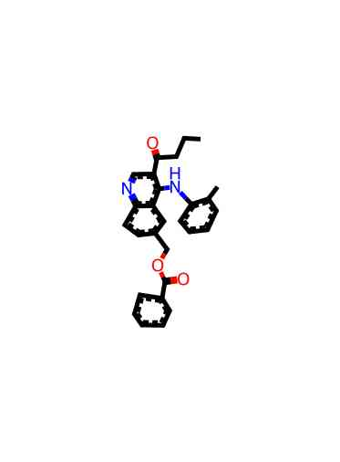 CCCC(=O)c1cnc2ccc(COC(=O)c3ccccc3)cc2c1Nc1ccccc1C